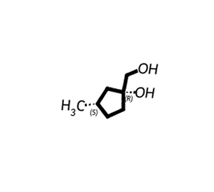 C[C@H]1CC[C@](O)(CO)C1